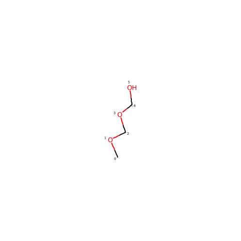 COCO[CH]O